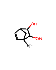 CCCC12C=CC(C1)C(O)C2O